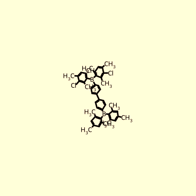 Cc1cc(C)c(B(c2ccc(-c3ccc(B(c4c(C)cc(C)c(Cl)c4C)c4c(C)cc(C)c(Cl)c4C)cc3)cc2)c2c(C)cc(C)cc2C)c(C)c1